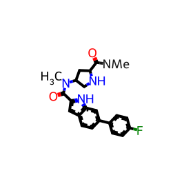 CNC(=O)C1CC(N(C)C(=O)c2cc3ccc(-c4ccc(F)cc4)cc3[nH]2)CN1